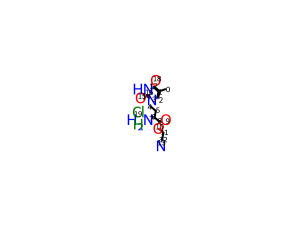 Cc1cn(CCC(N)C(=O)OCC#N)c(=O)[nH]c1=O.Cl